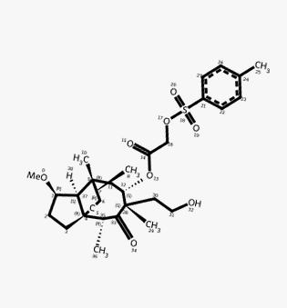 CO[C@@H]1CC[C@@]23CC[C@@H](C)[C@@](C)(C[C@H](OC(=O)COS(=O)(=O)c4ccc(C)cc4)[C@](C)(CCO)C(=O)[C@@H]2C)[C@H]13